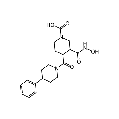 O=C(NO)C1CN(C(=O)O)CCC1C(=O)N1CCC(c2ccccc2)CC1